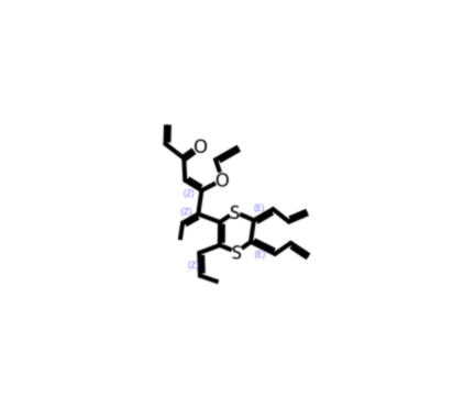 C=C/C=C1/SC(/C=C\C)=C(C(=C\C)/C(=C/C(=O)C=C)OC=C)S/C1=C/C=C